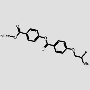 CCCCCCOC(=O)c1ccc(OC(=O)c2ccc(OCC(F)CCCC)cc2)cc1